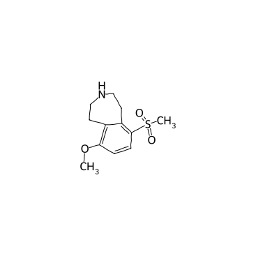 COc1ccc(S(C)(=O)=O)c2c1CCNCC2